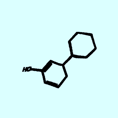 OC1=CC(C2CCCCC2)CC=C1